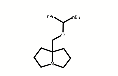 CCCCC(CCC)OCC12CCCN1CCC2